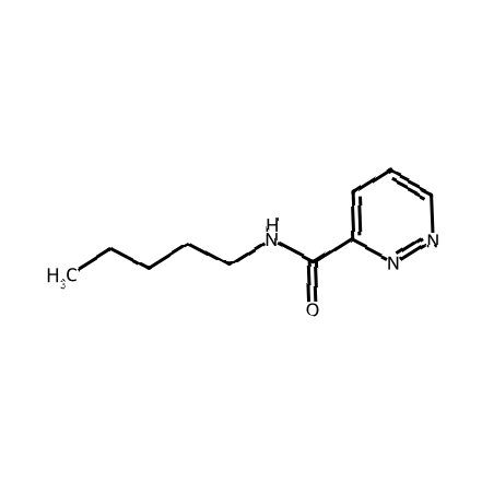 CCCCCNC(=O)c1cccnn1